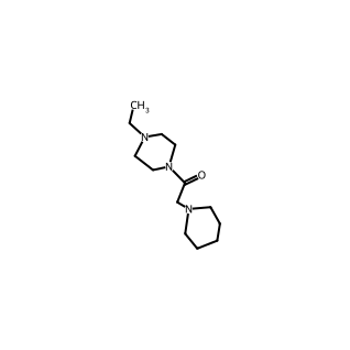 CCN1CCN(C(=O)CN2CCCCC2)CC1